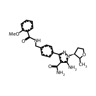 COc1ccccc1C(=O)NCc1ccc(-c2nn([C@H]3CCOC3C)c(N)c2C(N)=O)cc1